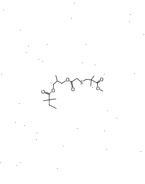 CCC(C)(C)C(=O)OCC(C)COC(=O)CSCC(C)(C)C(=O)OC